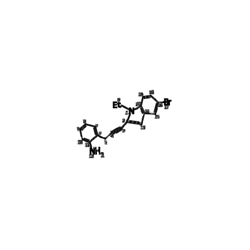 CCn1c(C#CCc2ccccc2N)cc2cc(Br)ccc21